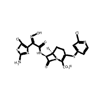 Nc1nc(/C(=N/O)C(=O)N[C@@H]2C(=O)N3C(C(=O)O)=C(Sc4ccnc(Cl)c4)CC[C@H]23)c(Cl)s1